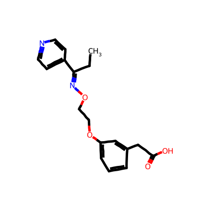 CC/C(=N\OCCOc1cccc(CC(=O)O)c1)c1ccncc1